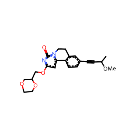 COC(C)C#Cc1ccc2c(c1)CCn1c-2cc(OCC2COCCO2)nc1=O